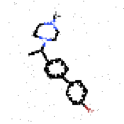 CC(=O)N1CCN(C(C)c2ccc(-c3ccc(Br)cc3)cc2)CC1